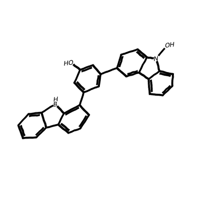 Oc1cc(-c2ccc3c(c2)c2ccccc2n3O)cc(-c2cccc3c2Bc2ccccc2-3)c1